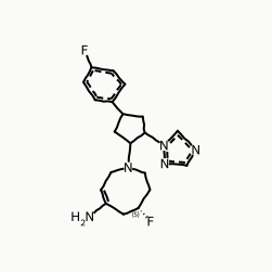 NC1=CCN(C2CC(c3ccc(F)cc3)CC2n2cncn2)CC[C@H](F)C1